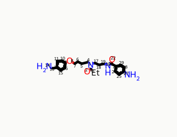 CCC(=O)N(CCCCOc1ccc(CN)cc1)CCCNC(=O)c1ccc(N)cc1